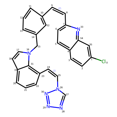 Clc1ccc2ccc(/C=C\c3cccc(Cn4ccc5cccc(/C=C\n6cnnn6)c54)c3)nc2c1